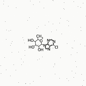 CC1OC(n2cnc3c(Cl)ncnc32)C(O)C(O)C1O